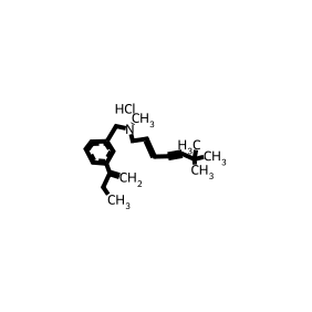 C=C(CC)c1cccc(CN(C)CC=CC#CC(C)(C)C)c1.Cl